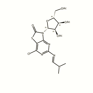 CC(=O)OC[C@H]1O[C@@H](n2c(=O)sc3c(Cl)nc(N=CN(C)C)nc32)[C@H](OC(C)=O)[C@@H]1OC(C)=O